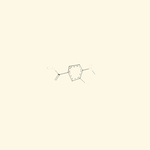 CNC(=O)c1ccc(NC=O)c(Cl)c1